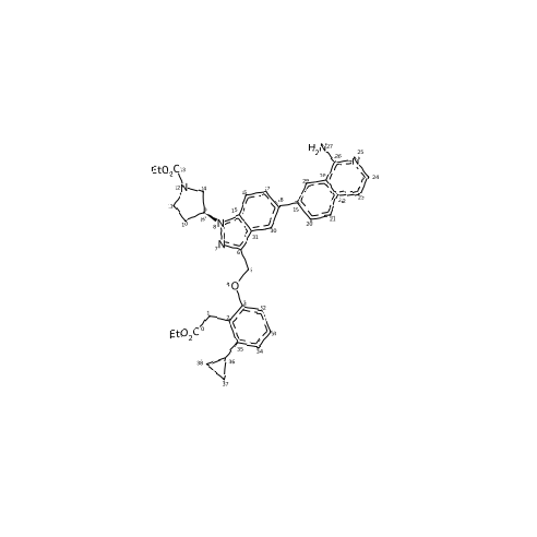 CCOC(=O)Cc1c(OCc2nn([C@H]3CCN(C(=O)OCC)C3)c3ccc(-c4ccc5ccnc(N)c5c4)cc23)cccc1C1CC1